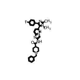 Cc1nc(-c2ccc(F)cc2)c(-c2ccc3nc(NC(=O)C4CCN(Cc5ccccc5)CC4)cn3n2)n1C